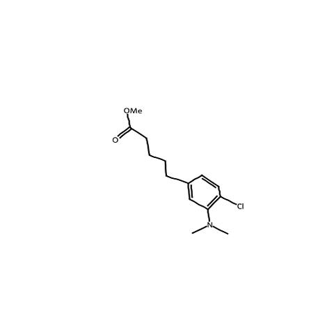 COC(=O)CCCCc1ccc(Cl)c(N(C)C)c1